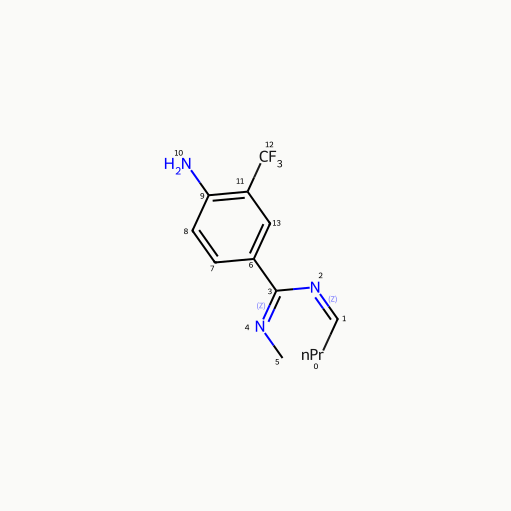 CCC/C=N\C(=N/C)c1ccc(N)c(C(F)(F)F)c1